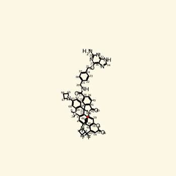 CS1(C)c2cc(N3CCC3)ccc2C2(c3cc(C(=O)NCc4ccc(COc5nc(N)nc6[nH]cnc56)cc4)ccc3C(=O)N2c2ccc3c(C(F)(F)F)cc(=O)oc3c2)c2ccc(N3CCC3)cc21